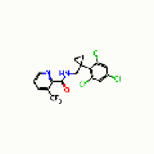 O=C(NCC1(c2c(Cl)cc(Cl)cc2Cl)CC1)c1ncccc1C(F)(F)F